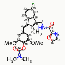 COc1cc(C=C2C(C)=C(CNC(=O)c3ncco3)c3cc(F)ccc32)cc(OC)c1OC(=O)N(C)C